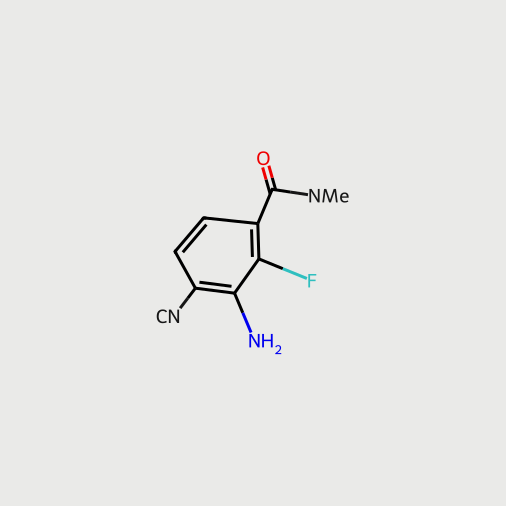 [C-]#[N+]c1ccc(C(=O)NC)c(F)c1N